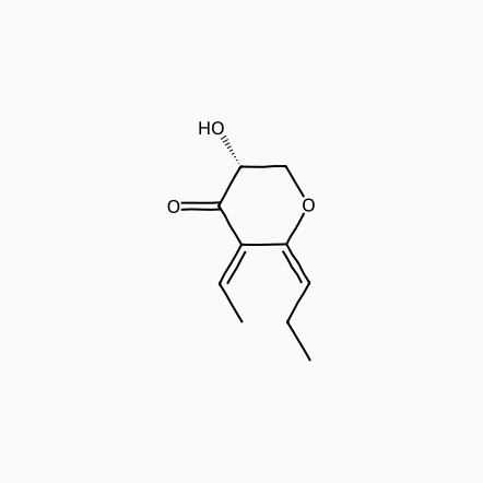 C/C=C1/C(=O)[C@H](O)CO/C1=C/CC